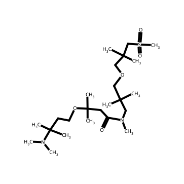 CN(CC(C)(C)COCC(C)(C)CS(C)(=O)=O)C(=O)CC(C)(C)OCCC(C)(C)N(C)C